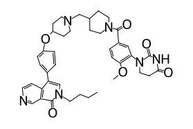 CCCCn1cc(-c2ccc(OC3CCN(CC4CCN(C(=O)c5ccc(OC)c(N6CCC(=O)NC6=O)c5)CC4)CC3)cc2)c2ccncc2c1=O